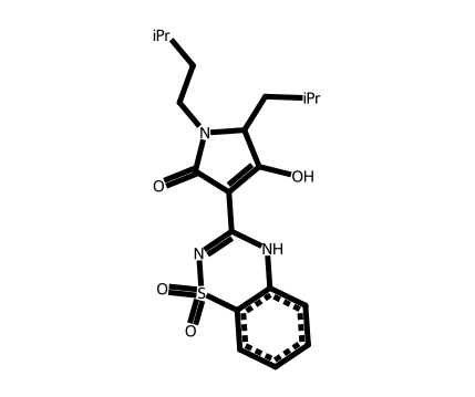 CC(C)CCN1C(=O)C(C2=NS(=O)(=O)c3ccccc3N2)=C(O)C1CC(C)C